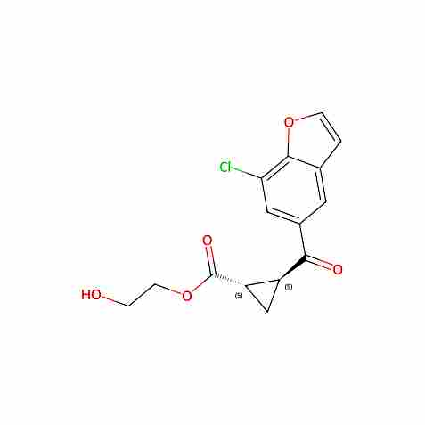 O=C(OCCO)[C@H]1C[C@@H]1C(=O)c1cc(Cl)c2occc2c1